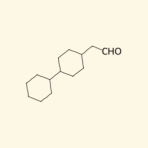 O=CCC1CCC(C2CCCCC2)CC1